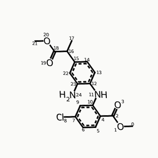 COC(=O)c1ccc(Cl)cc1Nc1ccc(C(C)C(=O)OC)cc1N